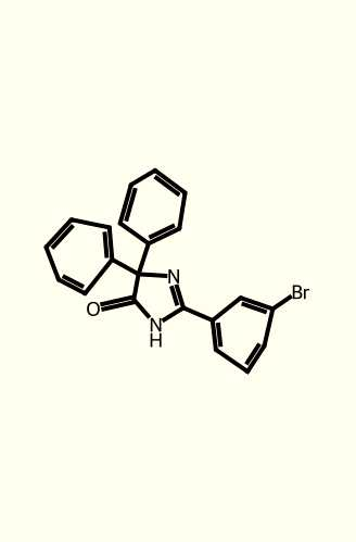 O=C1NC(c2cccc(Br)c2)=NC1(c1ccccc1)c1ccccc1